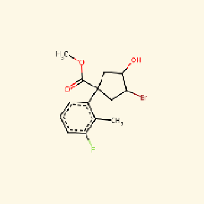 COC(=O)C1(c2cccc(F)c2C)CC(O)C(Br)C1